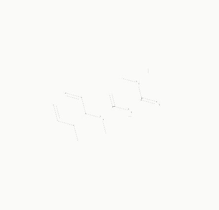 CCN(C)C(=N)NC(=O)N(C)c1c(C)cccc1C